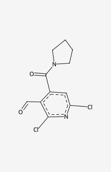 O=Cc1c(C(=O)N2CCCC2)cc(Cl)nc1Cl